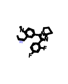 C=Nc1ccc(-c2c(-c3ccc(F)cc3F)nc3n2CCC3)cc1/C=C\C